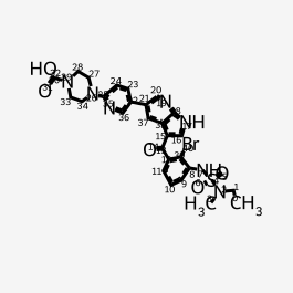 CCN(C)S(=O)(=O)Nc1cccc(C(=O)c2c[nH]c3ncc(-c4ccc(N5CCN(C(=O)O)CC5)nc4)cc23)c1Br